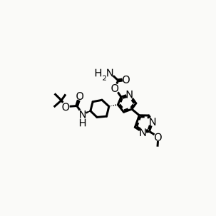 COc1ncc(-c2cnc(OC(N)=O)c([C@H]3CC[C@H](NC(=O)OC(C)(C)C)CC3)c2)cn1